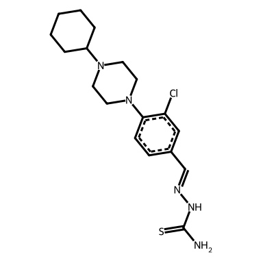 NC(=S)NN=Cc1ccc(N2CCN(C3CCCCC3)CC2)c(Cl)c1